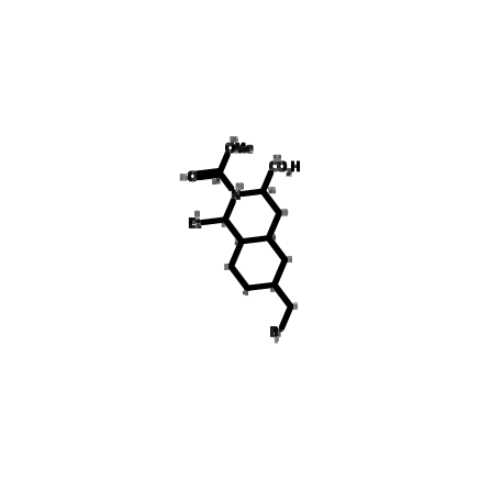 CCC1C2CCC(CBr)CC2CC(C(=O)O)N1C(=O)OC